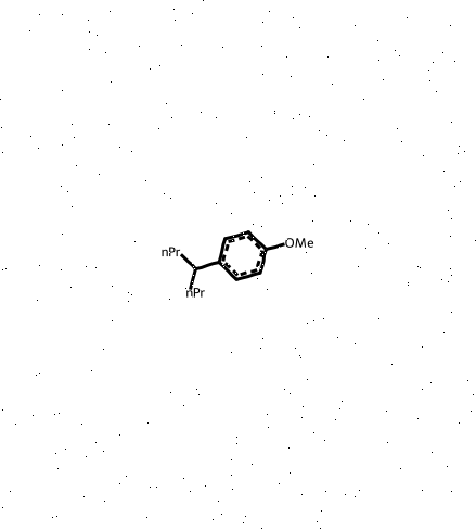 CCCC(CCC)c1ccc(OC)cc1